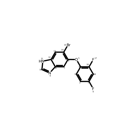 Fc1ccc(Oc2cc3nc[nH]c3cc2Br)c(F)c1